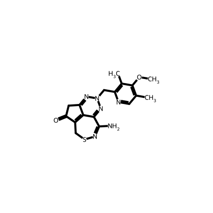 COc1c(C)cnc(CN2N=C3CC(=O)C4=C3C(=N2)C(N)=NSC4)c1C